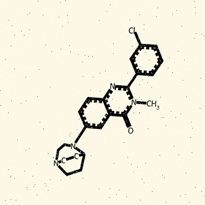 Cn1c(-c2cccc(Cl)c2)nc2ccc(N3CCN4CCC3CC4)cc2c1=O